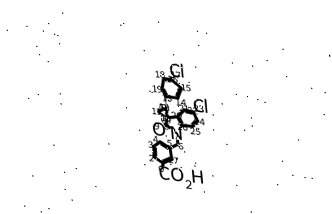 O=C(O)c1cccc(CN2C(=O)[C@@]3(C[C@@H]3c3ccc(Cl)cc3)c3cc(Cl)ccc32)c1